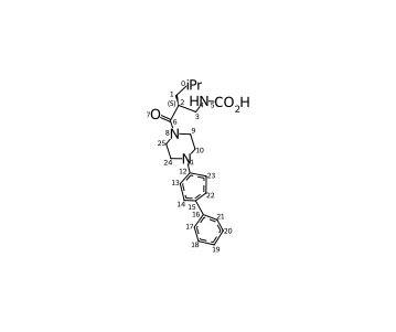 CC(C)C[C@@H](CNC(=O)O)C(=O)N1CCN(c2ccc(-c3ccccc3)cc2)CC1